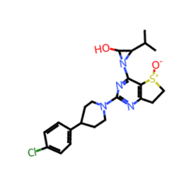 CC(C)C1C(O)N1c1nc(N2CCC(c3ccc(Cl)cc3)CC2)nc2c1[S+]([O-])CC2